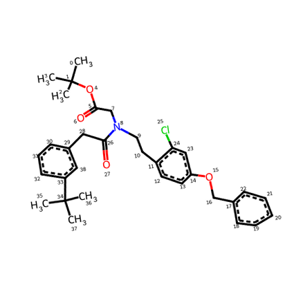 CC(C)(C)OC(=O)CN(CCc1ccc(OCc2ccccc2)cc1Cl)C(=O)Cc1cccc(C(C)(C)C)c1